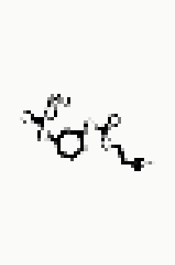 CC(C)CCOC(=O)OC1CCCC(OC(=O)OC(C)(C)C)C1